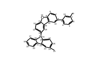 Cc1cccc(-c2ccc3oc4ccc(-n5c6ccccc6c6cc(C)ccc65)cc4c3c2)c1